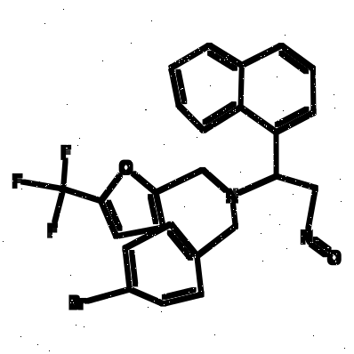 O=NCC(c1cccc2ccccc12)N(Cc1ccc(Br)cc1)Cc1ccc(C(F)(F)F)o1